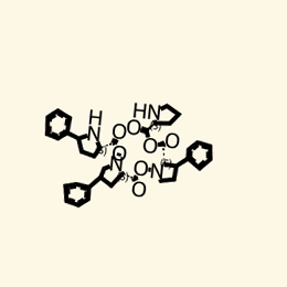 O=C(OC(=O)[C@@H]1C(c2ccccc2)CCN1OC(=O)[C@@H]1CC(c2ccccc2)CN1OC(=O)[C@@H]1CCC(c2ccccc2)N1)[C@@H]1CCCN1